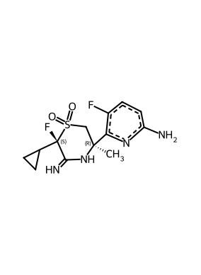 C[C@@]1(c2nc(N)ccc2F)CS(=O)(=O)[C@@](F)(C2CC2)C(=N)N1